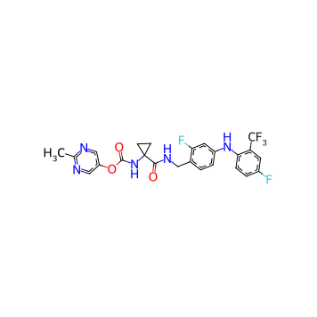 Cc1ncc(OC(=O)NC2(C(=O)NCc3ccc(Nc4ccc(F)cc4C(F)(F)F)cc3F)CC2)cn1